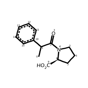 CC(C(=O)N1CCC[C@H]1C(=O)O)c1ccccc1